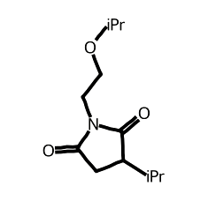 CC(C)OCCN1C(=O)CC(C(C)C)C1=O